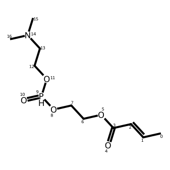 CC=CC(=O)OCCO[PH](=O)OCCN(C)C